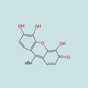 CCCCc1c2ccc(=O)c(O)c-2oc2c(O)c(O)ccc12